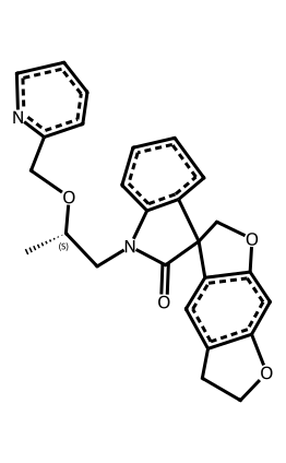 C[C@@H](CN1C(=O)C2(COc3cc4c(cc32)CCO4)c2ccccc21)OCc1ccccn1